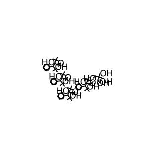 CC(C)(C)C(c1ccccc1)C(O)(C(=O)O)C(C)(C)C.CC(C)(C)C(c1ccccc1)C(O)(C(=O)O)C(C)(C)C.CC(C)(C)C(c1ccccc1)C(O)(C(=O)O)C(C)(C)C.CC(C)(C)C(c1ccccc1)C(O)(C(=O)O)C(C)(C)C.OCC(CO)(CO)CO